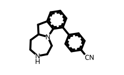 N#Cc1ccc(-c2cccc3c2N2CCNCCC2C3)cc1